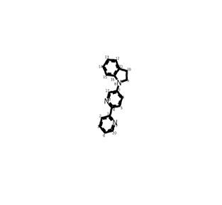 c1ccc(-c2ccc(N3CCc4ccccc43)cn2)nc1